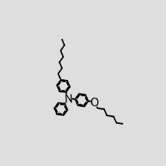 CCCCCCCc1ccc(N(c2ccccc2)c2ccc(OCCCCCC)cc2)cc1